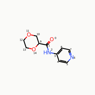 O=C(Nc1ccncc1)C1COCCO1